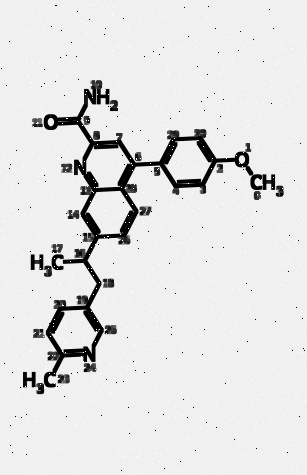 COc1ccc(-c2cc(C(N)=O)nc3cc(C(C)Cc4ccc(C)nc4)ccc23)cc1